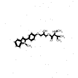 CNC(C(=O)OCC(O)COc1ccc(-c2cc3ccccc3n2C)cc1)C(C)C